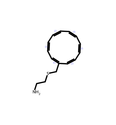 NCCSCC1=C/C=C\C=C/C=C\C=C/C=C\1